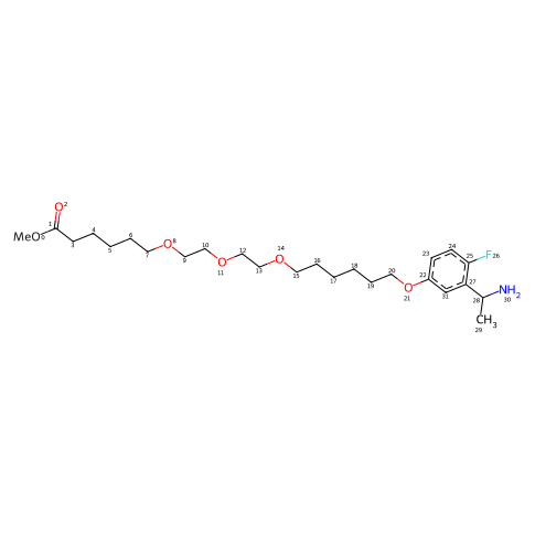 COC(=O)CCCCCOCCOCCOCCCCCCOc1ccc(F)c(C(C)N)c1